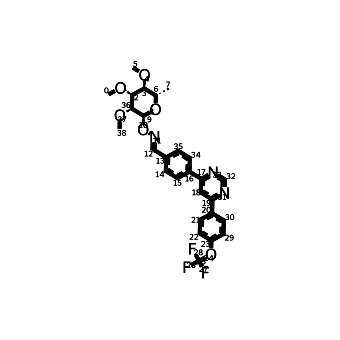 CO[C@@H]1[C@@H](OC)[C@H](C)O[C@@H](O/N=C/c2ccc(-c3cc(-c4ccc(OC(F)(F)F)cc4)ncn3)cc2)[C@@H]1OC